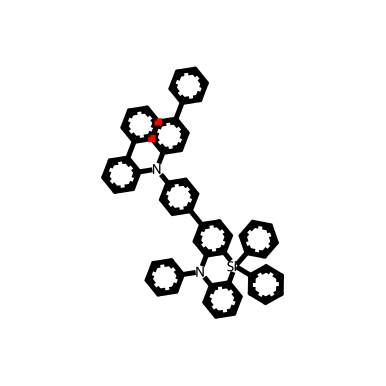 c1ccc(-c2ccc(N(c3ccc(-c4ccc5c(c4)N(c4ccccc4)c4ccccc4[Si]5(c4ccccc4)c4ccccc4)cc3)c3ccccc3-c3ccccc3)cc2)cc1